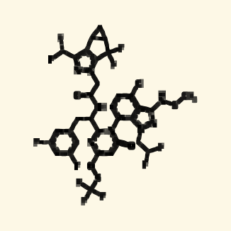 CSNc1nn(CC(F)F)c2c(-n3c(C(Cc4cc(F)cc(F)c4)NC(=O)Cn4nc(C(F)F)c5c4C(F)(F)C4CC54)nc(OSC(F)(F)F)cc3=O)ccc(Cl)c12